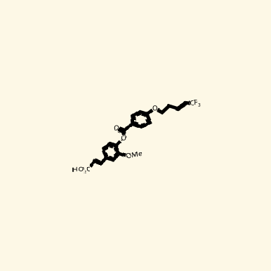 COc1cc(C=CC(=O)O)ccc1OC(=O)c1ccc(OCCCCC(F)(F)F)cc1